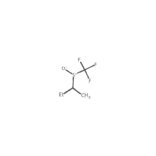 CCC(C)[S+]([O-])C(F)(F)F